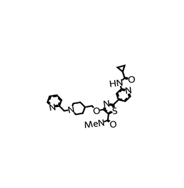 CNC(=O)c1sc(-c2ccnc(NC(=O)C3CC3)c2)nc1OCC1CCN(Cc2ccccn2)CC1